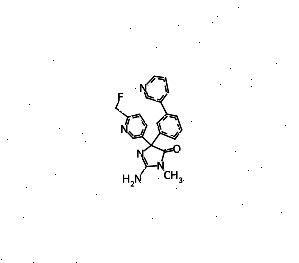 CN1C(=O)C(c2ccc(CF)nc2)(c2cccc(-c3cccnc3)c2)N=C1N